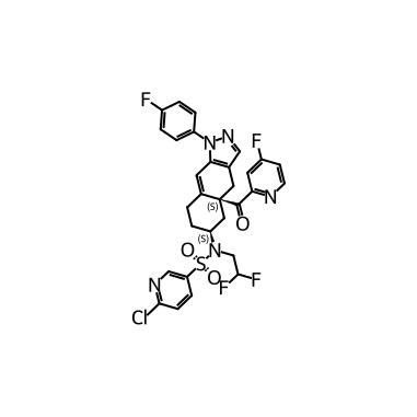 O=C(c1cc(F)ccn1)[C@]12Cc3cnn(-c4ccc(F)cc4)c3C=C1CC[C@H](N(CC(F)F)S(=O)(=O)c1ccc(Cl)nc1)C2